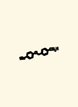 CC(C)(C)c1ccc(OCc2ccc(C(=O)O)cc2)cc1